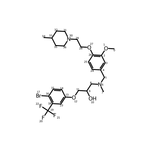 COc1cc(CN(C)CC(O)COc2ccc(Br)c(C(F)(F)F)c2)ccc1OCCN1CCC(C)CC1